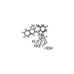 C[C@@]1(O)C(O)[C@@H](CO)O[C@H]1Cn1cc(-c2ccc3ccccc3c2)c2c(N)ncnc21